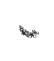 Cc1c(Cl)c(C2=NCCN2)nn1C1CCN(c2cnn(-c3ccc(F)cc3)c2C(C)C)C1=O